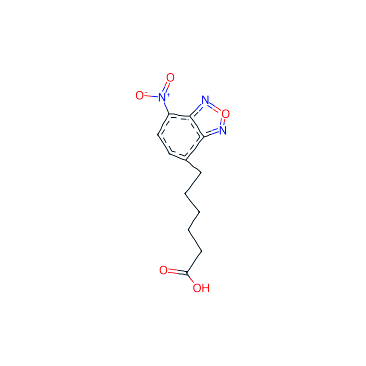 O=C(O)CCCCCc1ccc([N+](=O)[O-])c2nonc12